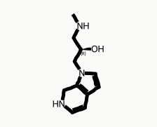 CNC[C@@H](O)Cn1ccc2c1CNC=C2